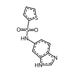 O=S(=O)(Nc1ccc2nc[nH]c2c1)c1cccs1